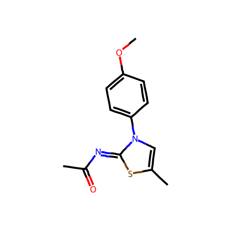 COc1ccc(-n2cc(C)sc2=NC(C)=O)cc1